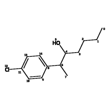 CCCCC(O)C(C)c1ccc(Cl)cc1